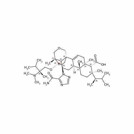 CC(C)[C@@H](C)[C@@]1(C)CC[C@]2(C)[C@H]3CC[C@@H]4[C@@]5(COC[C@@]4(C)[C@@H](OC[C@@](C)(C(C)C)N(C)C)[C@H](n4ncnc4C(N)=O)C5)C3=CC[C@@]2(C)[C@@H]1C(=O)O